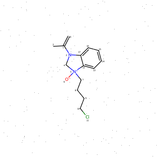 C=C(C)N1C[N+]([O-])(CCCCCl)c2ccccc21